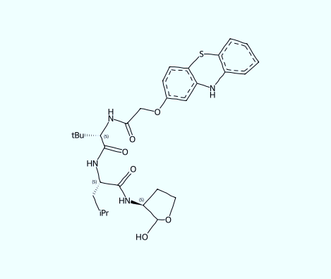 CC(C)C[C@H](NC(=O)[C@@H](NC(=O)COc1ccc2c(c1)Nc1ccccc1S2)C(C)(C)C)C(=O)N[C@H]1CCOC1O